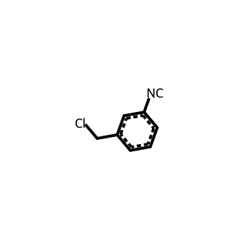 [C-]#[N+]c1cccc(CCl)c1